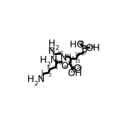 NCCCC[C@H](N)C(=O)N(CCN)CC(CCCB(O)O)CC(=O)O